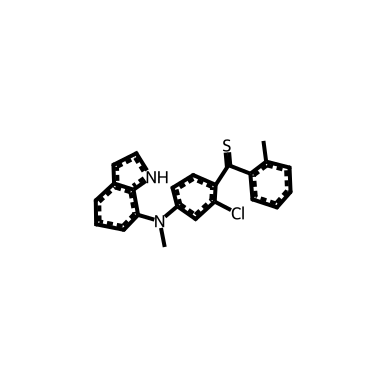 Cc1ccccc1C(=S)c1ccc(N(C)c2cccc3cc[nH]c23)cc1Cl